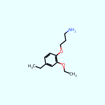 CCOc1cc(CC)ccc1OCCCN